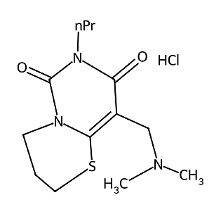 CCCn1c(=O)c(CN(C)C)c2n(c1=O)CCCS2.Cl